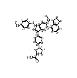 COc1ccc(Cn2nc(-c3ccc(C4CCN(C(=O)O)C4)nc3)c3nc(-c4cccc5c4CCC5)c(OC)cc32)cc1